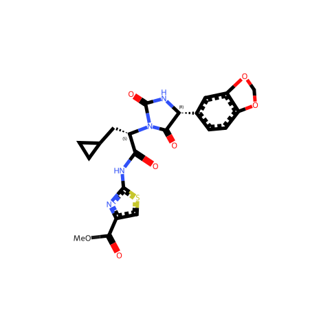 COC(=O)c1csc(NC(=O)[C@H](CC2CC2)N2C(=O)N[C@H](c3ccc4c(c3)OCO4)C2=O)n1